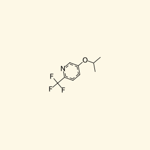 CC(C)Oc1ccc(C(F)(F)F)nc1